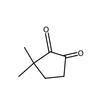 CC1(C)CCC(=O)C1=O